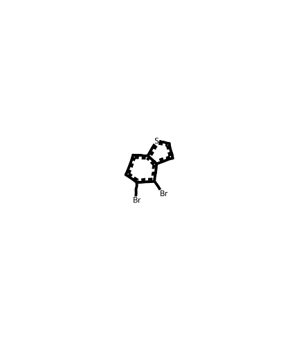 Brc1ccc2sccc2c1Br